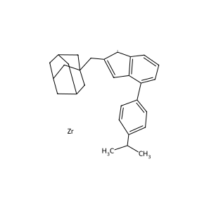 CC(C)c1ccc(-c2cccc3c2C=C(CC24CC5CC(CC(C5)C2)C4)[CH]3)cc1.[Zr]